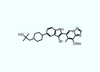 COc1c(C)c(-c2[nH]c3ccc(C4CCN(CC(C)(C)O)CC4)cc3c2C(C)C)cn2ncnc12